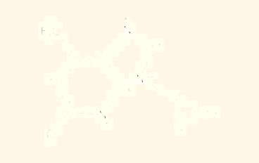 FC(F)(F)c1cc(Cl)nc2c1ncn2C1CC1